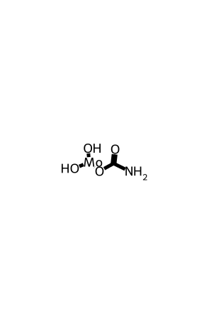 NC(=O)[O][Mo]([OH])[OH]